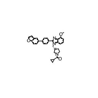 COc1cccc2c1nc(-c1ccc(-c3ccc4occc4c3)cc1)n2C[C@@H]1CCN(C(=O)C2CC2)C1